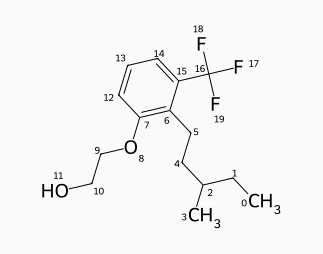 CCC(C)CCc1c(OCCO)cccc1C(F)(F)F